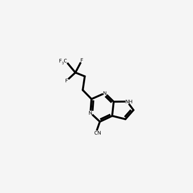 N#Cc1nc(CCC(F)(F)C(F)(F)F)nc2[nH]ccc12